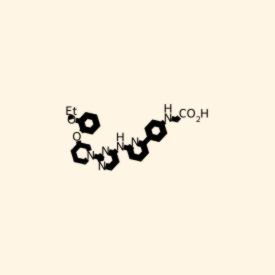 CCOc1ccccc1OC1CCCN(c2nccc(Nc3cccc(-c4ccc(NCC(=O)O)cc4)n3)n2)C1